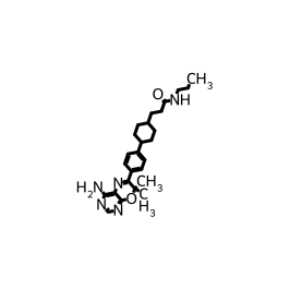 CCCNC(=O)CCC1CCC(c2ccc(C3=Nc4c(N)ncnc4OC3(C)C)cc2)CC1